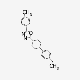 CCc1ccc(C2CCC(c3nnc(-c4ccc(C)cc4)o3)CC2)cc1